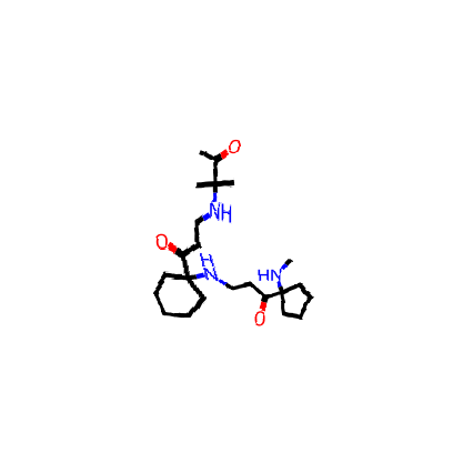 CNC1(C(=O)CCNC2(C(=O)CCNC(C)(C)C(C)=O)CCCCC2)CCCC1